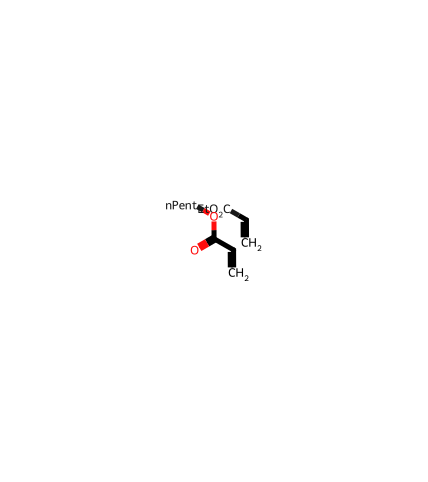 C=CC(=O)OCC.C=CC(=O)OCCCCC